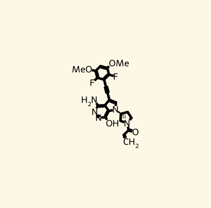 C=CC(=O)N1CC[C@H](n2cc(C#Cc3c(F)c(OC)cc(OC)c3F)c3c(N)nnc(O)c32)C1